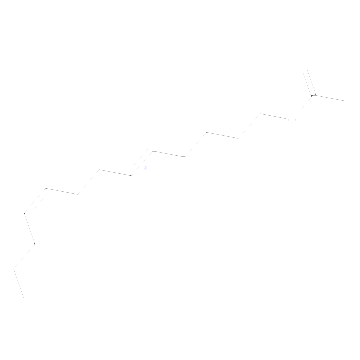 CCC/C=C\CC/C=C/CCCCOC(C)=O